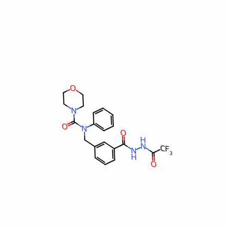 O=C(NNC(=O)C(F)(F)F)c1cccc(CN(C(=O)N2CCOCC2)c2ccccc2)c1